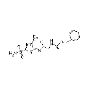 Cn1nc(S(N)(=O)=O)sc1=NC(=O)CNC(=O)OCc1ccccc1